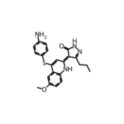 CCCC1=NNC(=O)C1=C1C=C(Sc2ccc(N)cc2)c2cc(OC)ccc2N1